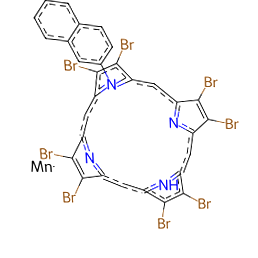 BrC1=C(Br)c2cc3c(Br)c(Br)c(cc4nc(cc5[nH]c(cc1n2)c(Br)c5Br)C(Br)=C4Br)n3-c1ccc2ccccc2c1.[Mn]